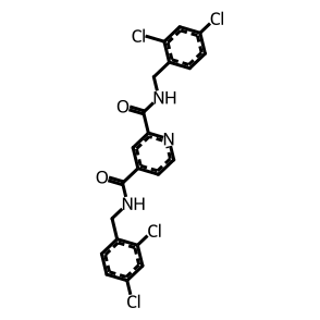 O=C(NCc1ccc(Cl)cc1Cl)c1ccnc(C(=O)NCc2ccc(Cl)cc2Cl)c1